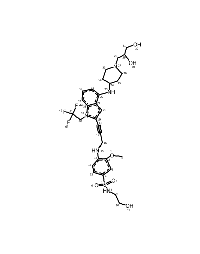 COc1cc(S(=O)(=O)NCCO)ccc1NCC#Cc1cc2c(NC3CCN(CC(O)CO)CC3)cccc2n1CC(F)(F)F